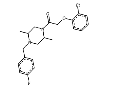 CCc1ccccc1OCC(=O)N1CC(C)N(Cc2ccc(F)cc2)CC1C